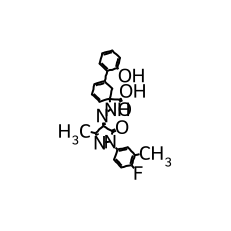 CC1=NN(c2ccc(F)c(C)c2)C(=O)C1=NNC1(C(=O)O)C=CC=C(c2ccccc2O)C1